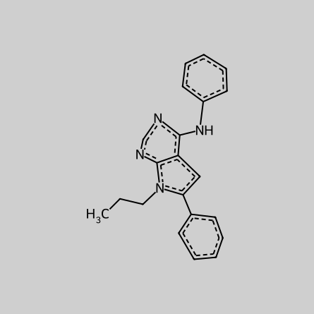 CCCn1c(-c2ccccc2)cc2c(Nc3ccccc3)ncnc21